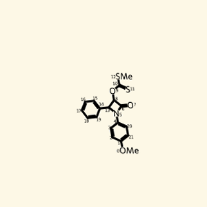 COc1ccc(N2C(=O)C(OC(=S)SC)C2c2ccccc2)cc1